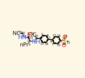 CCC[C@H](NC(c1ccc(-c2ccc(S(C)(=O)=O)cc2)cc1)C(F)(F)F)C(=O)NCC#N